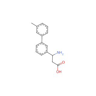 Cc1cccc(-c2cccc(C(N)CC(=O)O)c2)c1